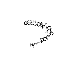 CN(C)C(=O)CCCCN1CCc2cc(/C(F)=C/c3cccc(-c4cccc(NC(=O)c5nc6c(n5C)CCN(CCCCCC5(C(=O)O)CCCC5)C6)c4Cl)c3Cl)ncc2C1